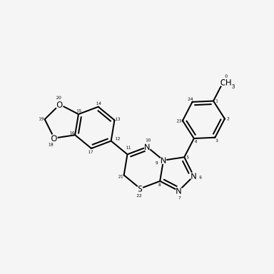 Cc1ccc(-c2nnc3n2N=C(c2ccc4c(c2)OCO4)CS3)cc1